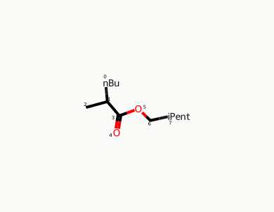 CCCCC(C)C(=O)OCC(C)CCC